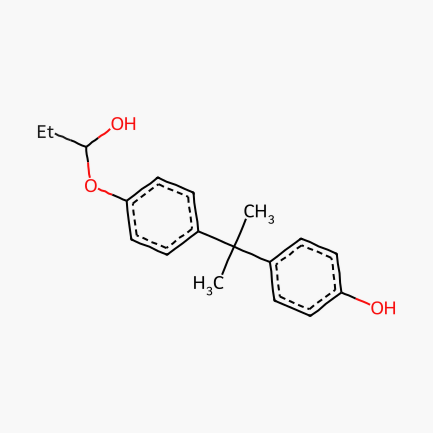 CCC(O)Oc1ccc(C(C)(C)c2ccc(O)cc2)cc1